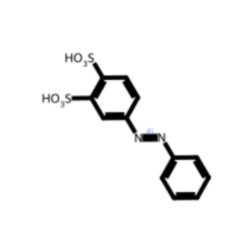 O=S(=O)(O)c1ccc(/N=N/c2ccccc2)cc1S(=O)(=O)O